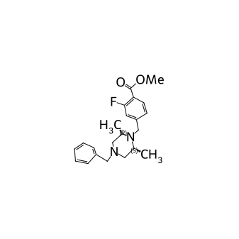 COC(=O)c1ccc(CN2[C@H](C)CN(Cc3ccccc3)C[C@@H]2C)cc1F